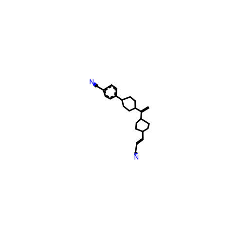 C=C(C1CCC(C=CC#N)CC1)C1CCC(c2ccc(C#N)cc2)CC1